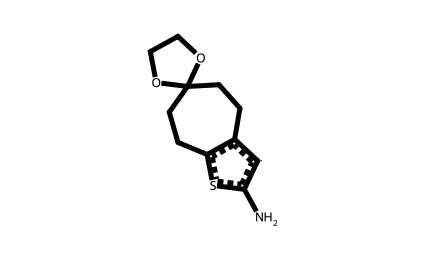 Nc1[c]c2c(s1)CCC1(CC2)OCCO1